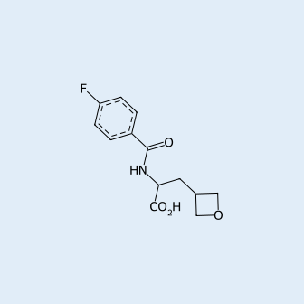 O=C(NC(CC1COC1)C(=O)O)c1ccc(F)cc1